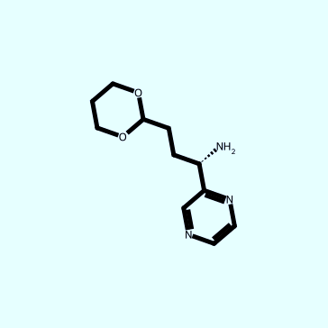 N[C@@H](CCC1OCCCO1)c1cnccn1